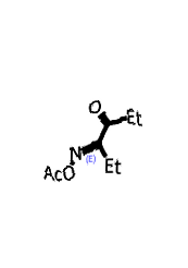 CCC(=O)/C(CC)=N/OC(C)=O